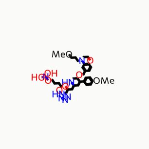 COCCCN1CCOc2ccc(COC3CNC(CC(OC(=O)CCCON(O)O)c4nnn[nH]4)CC3c3ccc(OC)cc3)cc21